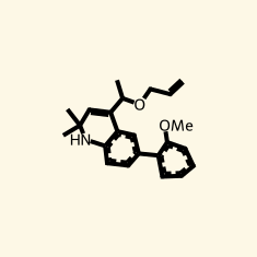 C=CCOC(C)C1=CC(C)(C)Nc2ccc(-c3ccccc3OC)cc21